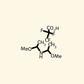 COC(C)NC(C)OC.O=C(O)C(F)(F)C(F)(F)F